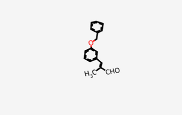 C/C(C=O)=C\c1cccc(OCc2ccccc2)c1